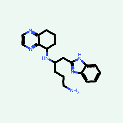 NCCCC(Cc1nc2ccccc2[nH]1)NC1CCCc2nccnc21